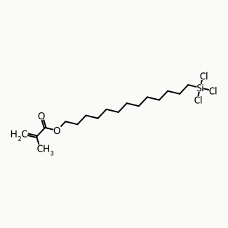 C=C(C)C(=O)OCCCCCCCCCCCCC[Si](Cl)(Cl)Cl